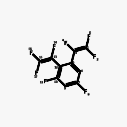 FC(F)=C(F)c1cc(F)cc(F)c1C(F)=C(F)F